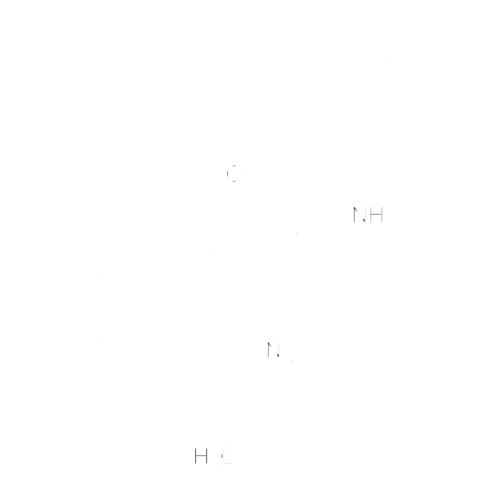 CCN(CCNc1ccccc1Cl)c1ccccc1